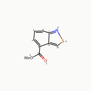 COC(=O)c1cccc2nscc12